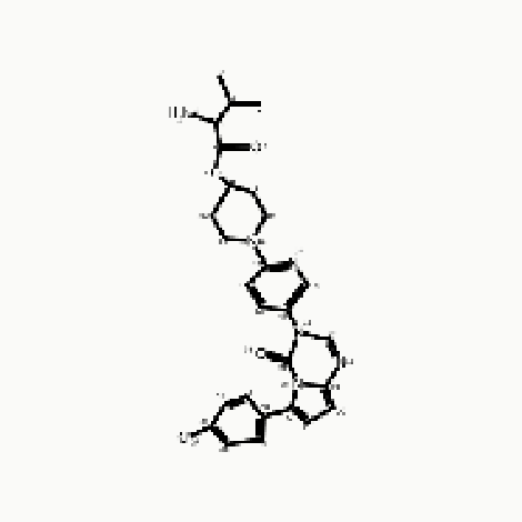 CC(C)C(N)C(=O)OC1CCN(c2ccc(-n3cnc4ccc(-c5ccc(Cl)cc5)n4c3=O)cn2)CC1